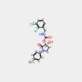 O=C(NCc1cccc(Cl)c1F)O[C@@]1(O)CCN(c2ccc(Br)cc2)C1=O